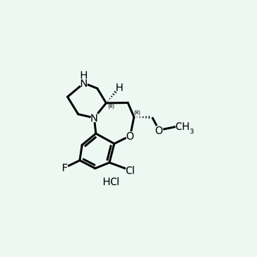 COC[C@H]1C[C@@H]2CNCCN2c2cc(F)cc(Cl)c2O1.Cl